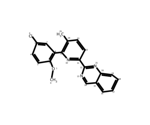 COc1ccc(Cl)cc1-c1nc(-c2ncc3ccccc3n2)ccc1C